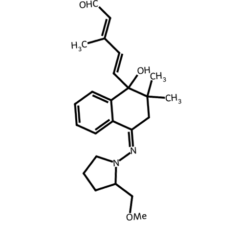 COCC1CCCN1/N=C1/CC(C)(C)C(O)(/C=C/C(C)=C/C=O)c2ccccc21